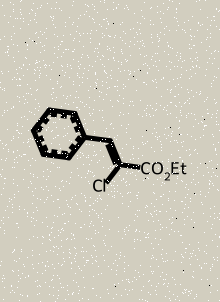 CCOC(=O)C(Cl)=Cc1ccccc1